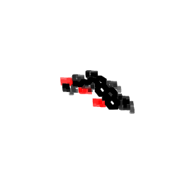 C[C@H](CC[C@H](O)C(C)(C)O)[C@H]1CC[C@@]2(C)[C@@H]3CC[C@H]4C(C)(C)CCC(O)[C@@]45C[C@@]35CC[C@]12C